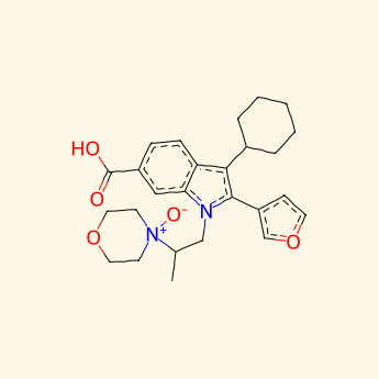 CC(Cn1c(-c2ccoc2)c(C2CCCCC2)c2ccc(C(=O)O)cc21)[N+]1([O-])CCOCC1